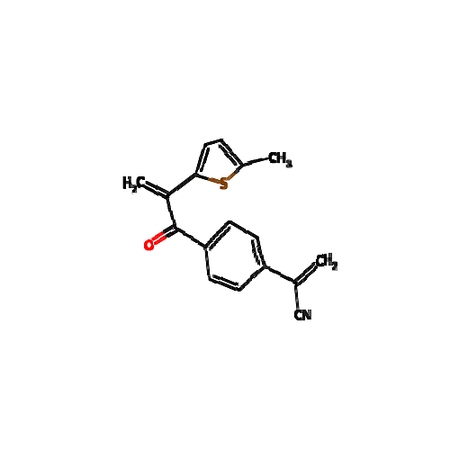 C=C(C#N)c1ccc(C(=O)C(=C)c2ccc(C)s2)cc1